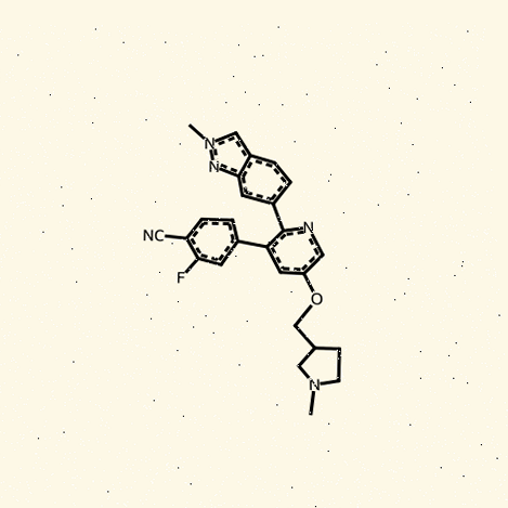 CN1CCC(COc2cnc(-c3ccc4cn(C)nc4c3)c(-c3ccc(C#N)c(F)c3)c2)C1